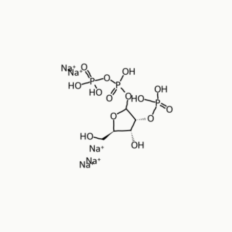 O=P(O)(O)O[C@H]1C(OP(=O)(O)OP(=O)(O)O)O[C@H](CO)[C@H]1O.[Na+].[Na+].[Na+].[Na+].[Na+]